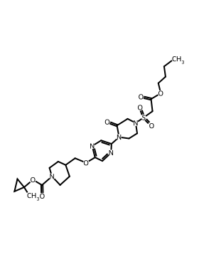 CCCCOC(=O)CS(=O)(=O)N1CCN(c2cnc(OCC3CCN(C(=O)OC4(C)CC4)CC3)cn2)C(=O)C1